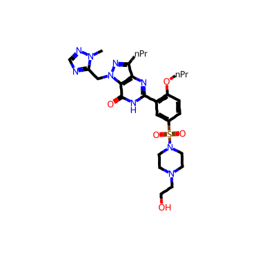 CCCOc1ccc(S(=O)(=O)N2CCN(CCO)CC2)cc1-c1nc2c(CCC)nn(Cc3ncnn3C)c2c(=O)[nH]1